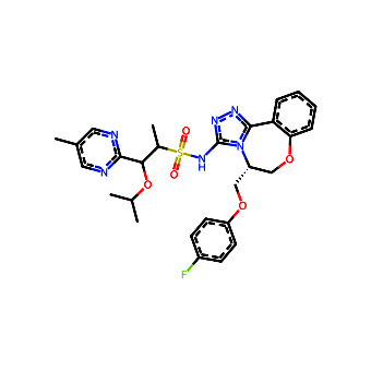 Cc1cnc(C(OC(C)C)C(C)S(=O)(=O)Nc2nnc3n2[C@@H](COc2ccc(F)cc2)COc2ccccc2-3)nc1